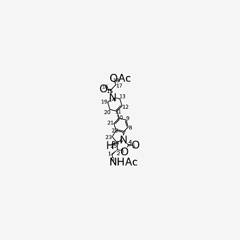 CC(=O)NC[C@@H]1OC(=O)N2c3ccc(C4=CCN(C(=O)COC(C)=O)CC4)cc3C[C@@H]12